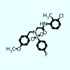 COc1ccc(CN(CC(=O)Nc2cccc(Cl)c2C)S(=O)(=O)c2ccc(F)cc2)cc1